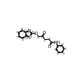 O=C(CCC(=O)Nc1ccccc1)COc1nc2ccccc2o1